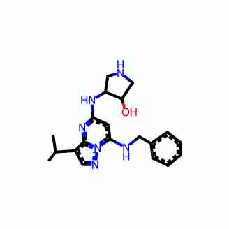 CC(C)c1cnn2c(NCc3ccccc3)cc(NC3CNCC3O)nc12